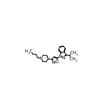 CCCCN1CCC(c2cc(-n3nc(C(C)C)c4ccccc43)on2)CC1